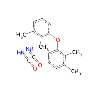 Cc1cccc(Oc2cccc(C)c2C)c1C.N=C=O.N=C=O